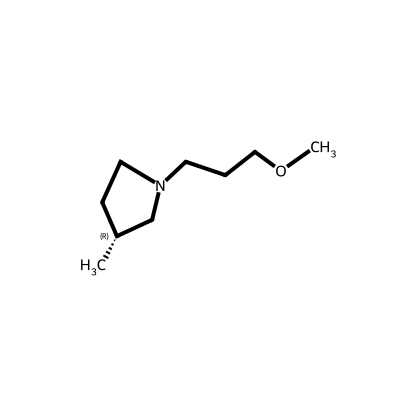 COCCCN1CC[C@@H](C)C1